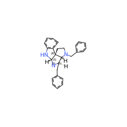 c1ccc(CN2CC[C@]34c5ccccc5N[C@H]3[N@]3C(c5ccccc5)[C@@H]3[C@H]24)cc1